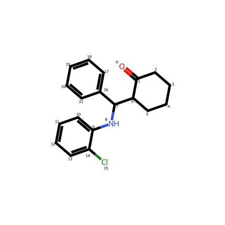 O=C1CCCCC1C(Nc1ccccc1Cl)c1ccccc1